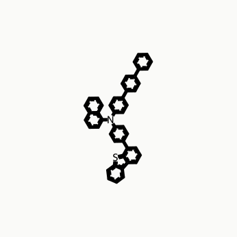 c1ccc(-c2ccc(-c3ccc(N(c4ccc(-c5cccc6c5sc5ccccc56)cc4)c4cccc5ccccc45)cc3)cc2)cc1